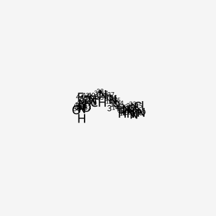 Cn1c(C2CCN(CC3CCN(c4ccc([C@@H]5CCCN(c6ccc(Cl)c7c(C#N)n[nH]c67)C5)cc4)CC3)CC2)cc2cc(F)c(N3CCC(=O)NC3=O)cc21